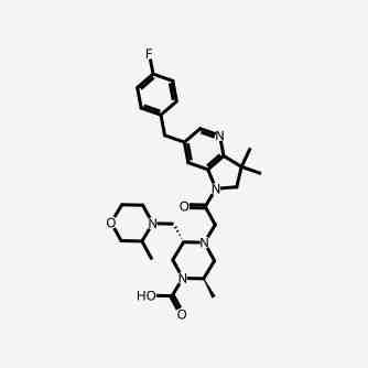 CC1COCCN1C[C@H]1CN(C(=O)O)[C@H](C)CN1CC(=O)N1CC(C)(C)c2ncc(Cc3ccc(F)cc3)cc21